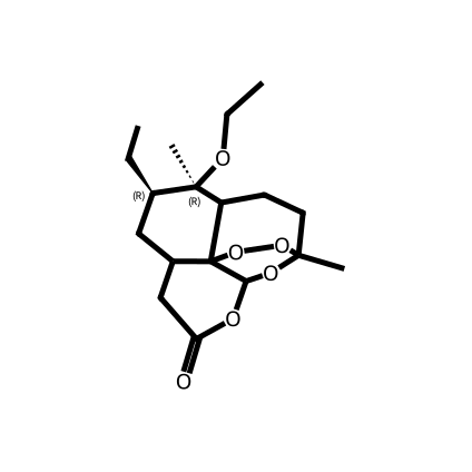 CCO[C@@]1(C)C2CCC3(C)OOC24C(CC(=O)OC4O3)C[C@H]1CC